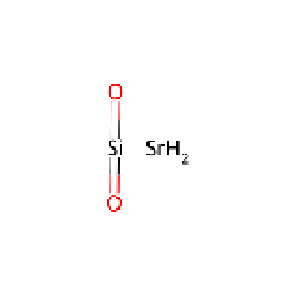 O=[Si]=O.[SrH2]